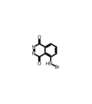 O=C1N=NC(=O)c2c(NBr)cccc21